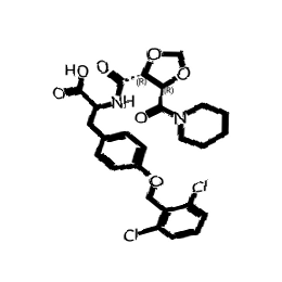 O=C(O)C(Cc1ccc(OCc2c(Cl)cccc2Cl)cc1)NC(=O)[C@@H]1OCO[C@H]1C(=O)N1CCCCC1